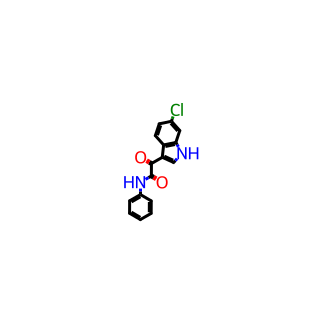 O=C(Nc1ccccc1)C(=O)c1c[nH]c2cc(Cl)ccc12